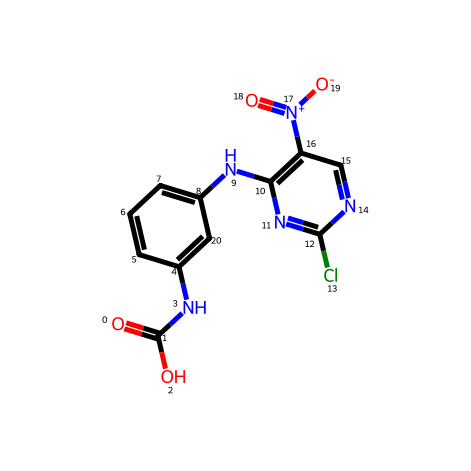 O=C(O)Nc1cccc(Nc2nc(Cl)ncc2[N+](=O)[O-])c1